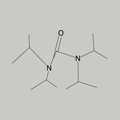 CC(C)N(C(=O)N(C(C)C)C(C)C)C(C)C